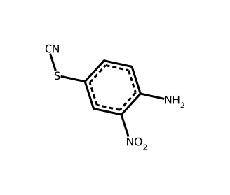 N#CSc1ccc(N)c([N+](=O)[O-])c1